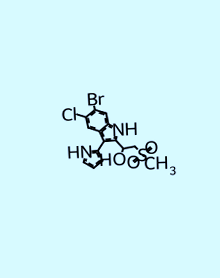 CS(=O)(=O)CC(O)c1[nH]c2cc(Br)c(Cl)cc2c1-c1ccc[nH]1